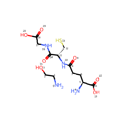 NCCO.N[C@@H](CCC(=O)N[C@@H](CS)C(=O)NCC(=O)O)C(=O)O